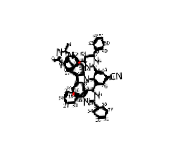 Cc1nc(C)nc(-c2ccc3c(c2)c2ccccc2n3-c2c(-c3cc(-c4ccccc4)nc(-c4ccccc4)n3)cc(C#N)cc2-c2nc(-c3ccccc3)cc(-c3ccccc3)n2)n1